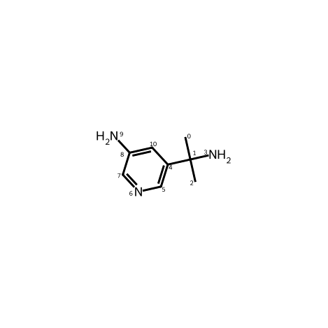 CC(C)(N)c1cncc(N)c1